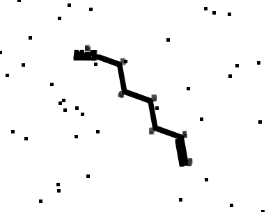 [CH]=CCCCCSC